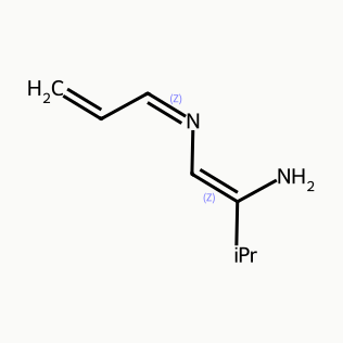 C=C/C=N\C=C(/N)C(C)C